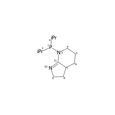 CC(C)P(C(C)C)N1CCCC2CCN=C21